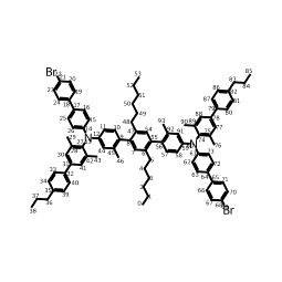 CCCCCCc1cc(-c2ccc(N(c3ccc(-c4ccc(Br)cc4)cc3)c3c(C)cc(-c4ccc(CCC)cc4)cc3C)cc2C)c(CCCCCC)cc1-c1ccc(N(c2ccc(-c3ccc(Br)cc3)cc2)c2c(C)cc(-c3ccc(CCC)cc3)cc2C)cc1C